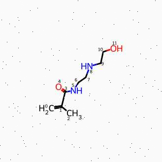 C=C(C)C(=O)NCCNCCO